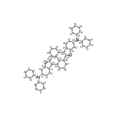 c1ccc(N(c2ccccc2)c2ccc3c(c2)oc2c4cccc5c6c7ccc(N(c8ccccc8)c8ccccc8)cc7oc6c6cccc(c32)c6c45)cc1